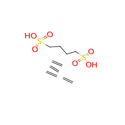 C=C.C=C.C=C.C=C.O=S(=O)(O)CCCCS(=O)(=O)O